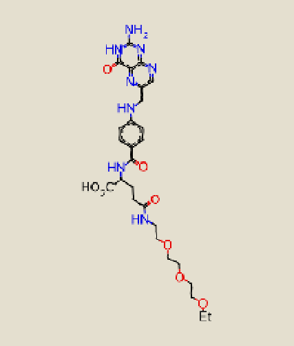 CCOCCOCCOCCNC(=O)CC[C@H](NC(=O)c1ccc(NCc2cnc3nc(N)[nH]c(=O)c3n2)cc1)C(=O)O